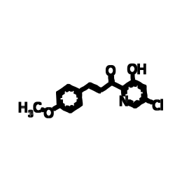 COc1ccc(/C=C/C(=O)c2ncc(Cl)cc2O)cc1